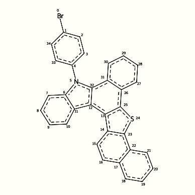 Brc1ccc(-n2c3ccccc3c3c4c5ccc6ccccc6c5sc4c4ccccc4c32)cc1